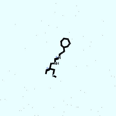 C/C=C(/CN/C=N/CCC1CCCCCC1)CSC